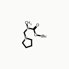 CN(CN1CCCC1)C(=O)OC(C)(C)C